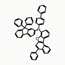 c1ccc(-c2ccc(N(c3ccc4c(c3)C(c3ccccc3)(c3ccccc3)c3ccccc3-4)c3cccc4c3oc3cc(-c5ccccc5)c5ccccc5c34)cc2)cc1